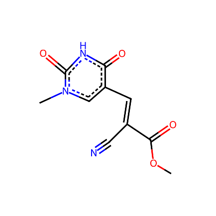 COC(=O)/C(C#N)=C/c1cn(C)c(=O)[nH]c1=O